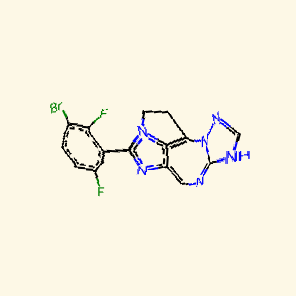 Fc1ccc(Br)c(F)c1-c1nc2c3n1CCC=3N1N=CNC1=NC=2